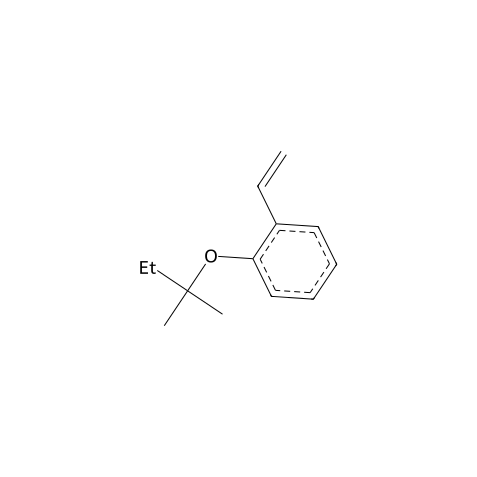 C=Cc1ccccc1OC(C)(C)CC